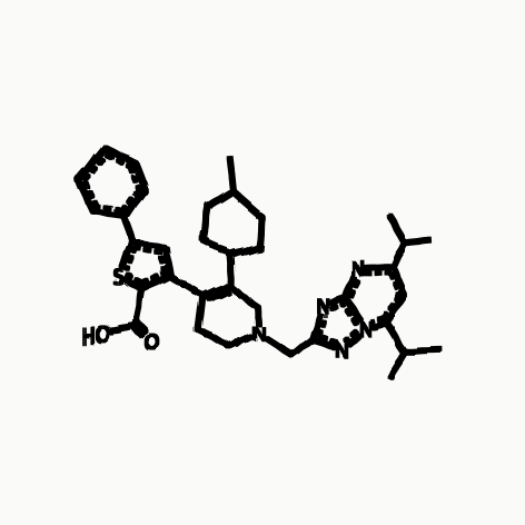 CC1CCC(C2=C(c3cc(-c4ccccc4)sc3C(=O)O)CCN(Cc3nc4nc(C(C)C)cc(C(C)C)n4n3)C2)CC1